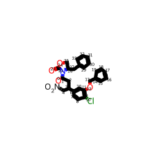 O=C(CC(C[N+](=O)[O-])c1ccc(Cl)c(OCc2ccccc2)c1)N1C(=O)OCC1Cc1ccccc1